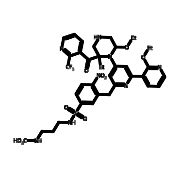 CCOc1ncccc1-c1cc(N2C(OCC)CNCC2(CC)C(=O)c2cccnc2C(F)(F)F)cc(Cc2cc(S(=O)(=O)NCCCNC(=O)O)ccc2[N+](=O)[O-])n1